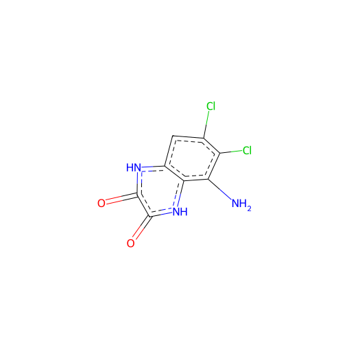 Nc1c(Cl)c(Cl)cc2[nH]c(=O)c(=O)[nH]c12